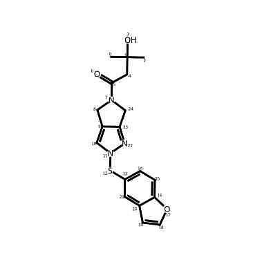 CC(C)(O)CC(=O)N1Cc2cn(Sc3ccc4occc4c3)nc2C1